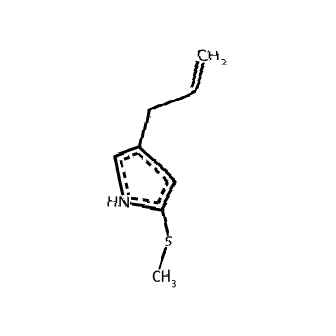 C=CCc1c[nH]c(SC)c1